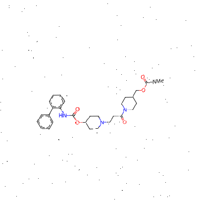 CNC(=O)OCC1CCN(C(=O)CCN2CCC(OC(=O)Nc3ccccc3-c3ccccc3)CC2)CC1